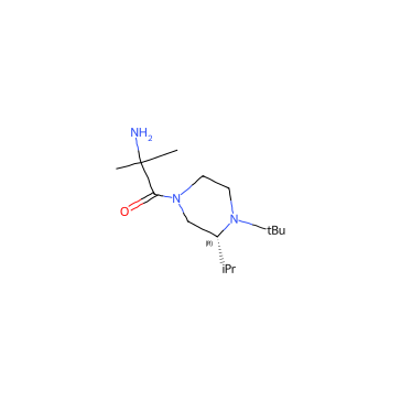 CC(C)[C@@H]1CN(C(=O)C(C)(C)N)CCN1C(C)(C)C